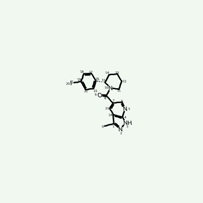 Cc1n[nH]c2ncc(C(=O)N3CCCC[C@H]3c3ccc(F)cc3)cc12